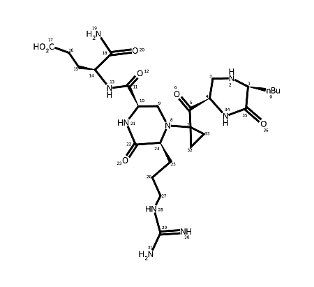 CCCC[C@@H]1NC[C@H](C(=O)C2(N3C[C@H](C(=O)N[C@@H](CCC(=O)O)C(N)=O)NC(=O)[C@@H]3CCCNC(=N)N)CC2)NC1=O